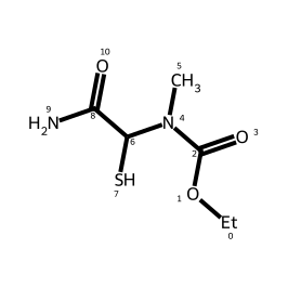 CCOC(=O)N(C)C(S)C(N)=O